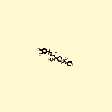 CC(C)(CNC(=O)C(N)C1CCN(C(=O)Nc2ccncc2)CC1)c1ccc(Cl)c(Cl)c1